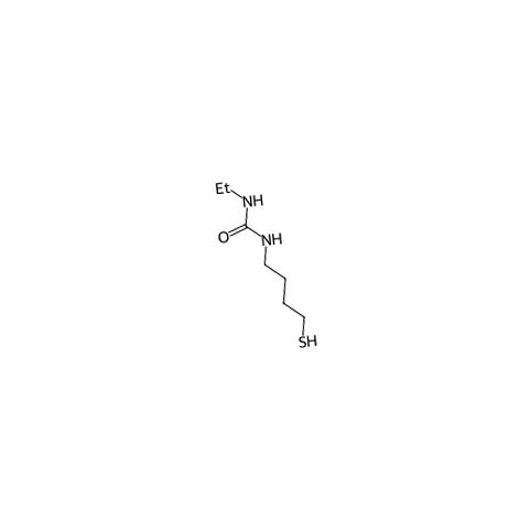 CCNC(=O)NCCCCS